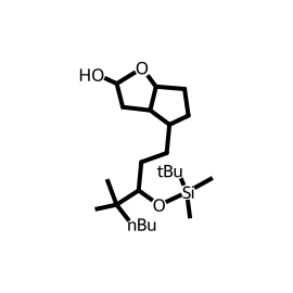 CCCCC(C)(C)C(CCC1CCC2OC(O)CC12)O[Si](C)(C)C(C)(C)C